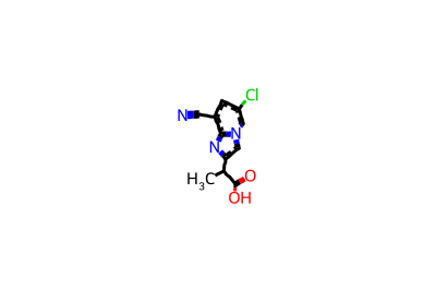 CC(C(=O)O)c1cn2cc(Cl)cc(C#N)c2n1